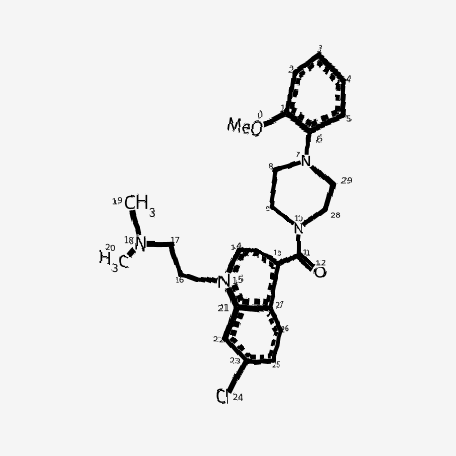 COc1ccccc1N1CCN(C(=O)c2cn(CCN(C)C)c3cc(Cl)ccc23)CC1